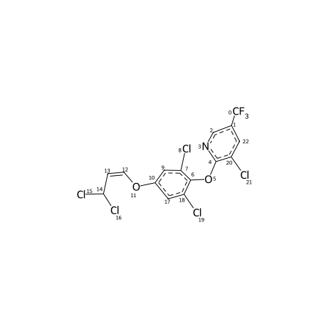 FC(F)(F)c1cnc(Oc2c(Cl)cc(O/C=C\C(Cl)Cl)cc2Cl)c(Cl)c1